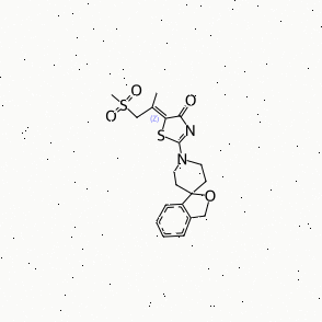 C/C(CS(C)(=O)=O)=C1/SC(N2CCC3(CC2)OCc2ccccc23)=NC1=O